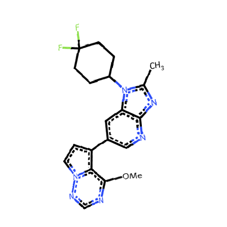 COc1ncnn2ccc(-c3cnc4nc(C)n(C5CCC(F)(F)CC5)c4c3)c12